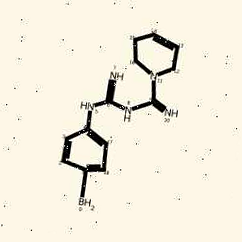 Bc1ccc(NC(=N)NC(=N)N2CC=CCC2)cc1